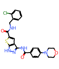 O=C(Nc1n[nH]c2sc(C(=O)NCc3ccccc3Cl)cc12)c1ccc(N2CCOCC2)cc1